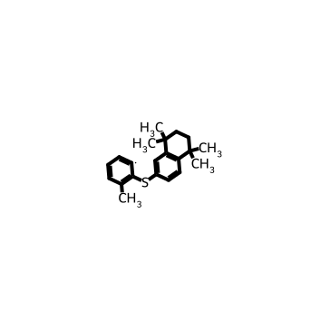 Cc1ccc[c]c1Sc1ccc2c(c1)C(C)(C)CCC2(C)C